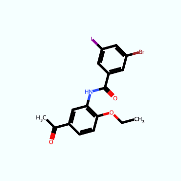 CCOc1ccc(C(C)=O)cc1NC(=O)c1cc(Br)cc(I)c1